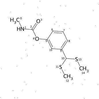 CNC(=O)Oc1cccc(C(SC)SC)c1